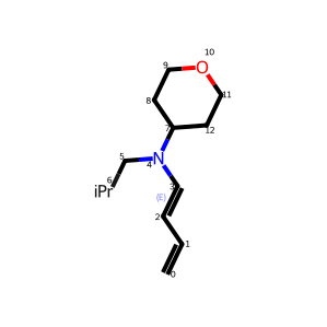 C=C/C=C/N(CC(C)C)C1CCOCC1